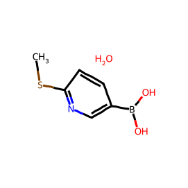 CSc1ccc(B(O)O)cn1.O